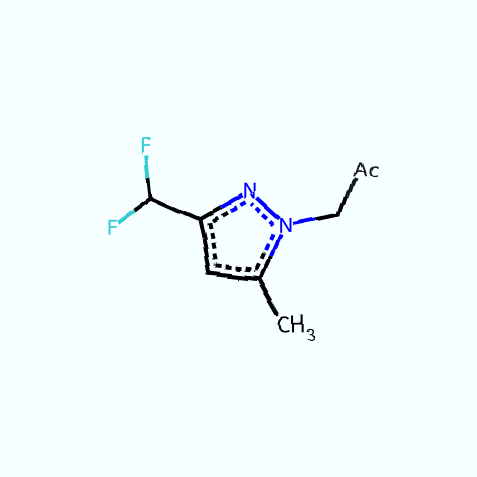 CC(=O)Cn1nc(C(F)F)cc1C